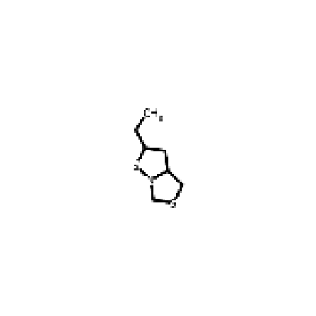 CCC1CC2CSCN2S1